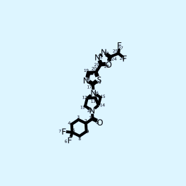 O=C(C1CCC(F)(F)CC1)N1CC2CC1CN2c1ncc(-c2nnc(C(F)F)o2)s1